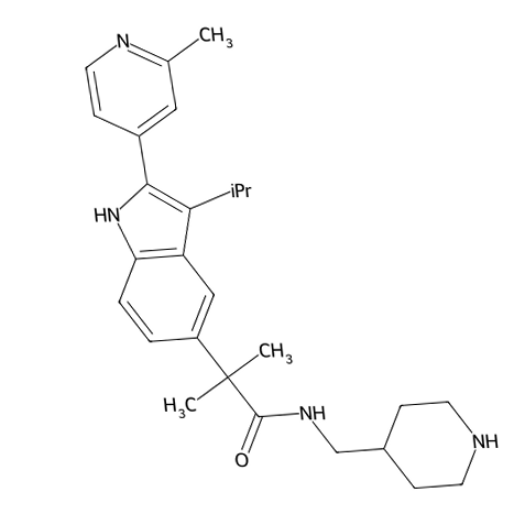 Cc1cc(-c2[nH]c3ccc(C(C)(C)C(=O)NCC4CCNCC4)cc3c2C(C)C)ccn1